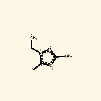 Cc1nc(N)nn1CC(F)(F)F